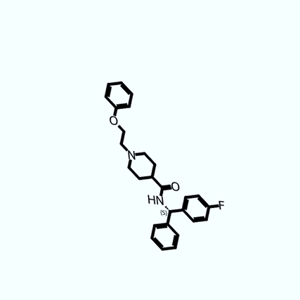 O=C(N[C@@H](c1ccccc1)c1ccc(F)cc1)C1CCN(CCOc2ccccc2)CC1